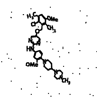 COc1cc(Nc2ncc(OCc3c(C)c(OC)cc(C)c3Cl)cn2)ccc1N1CCC(N2CCN(C)CC2)CC1